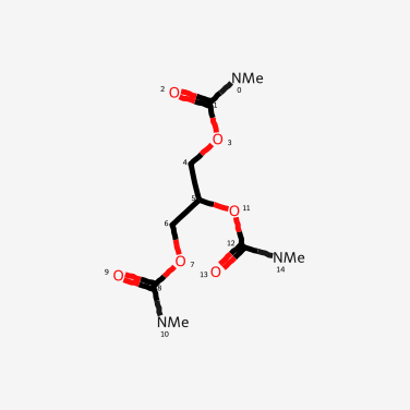 CNC(=O)OCC(COC(=O)NC)OC(=O)NC